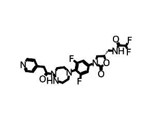 O=C(NC[C@H]1CN(c2cc(F)c(N3CCNN(C(=O)Cc4ccncc4)CC3)c(F)c2)C(=O)O1)C(F)F